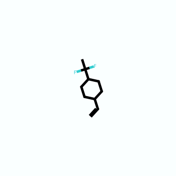 C=CC1CCC(C(C)(F)F)CC1